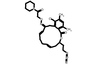 Cc1cc(C)c2c(c1Cl)CC(=NOCC(=O)N1CCCCC1)/C=C/CC/C=C/CC(CCN=[N+]=[N-])OC2=O